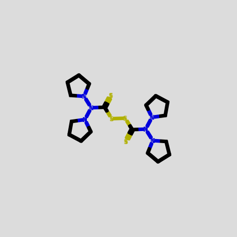 S=C(SSC(=S)N(N1CCCC1)N1CCCC1)N(N1CCCC1)N1CCCC1